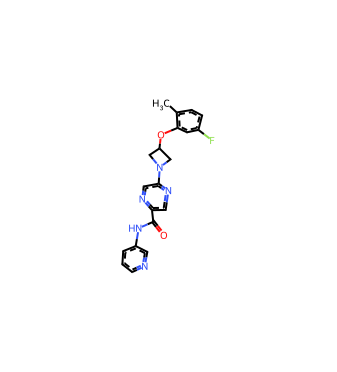 Cc1ccc(F)cc1OC1CN(c2cnc(C(=O)Nc3cccnc3)cn2)C1